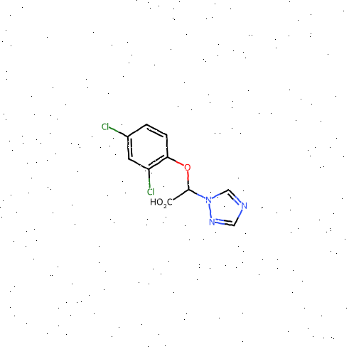 O=C(O)C(Oc1ccc(Cl)cc1Cl)n1cncn1